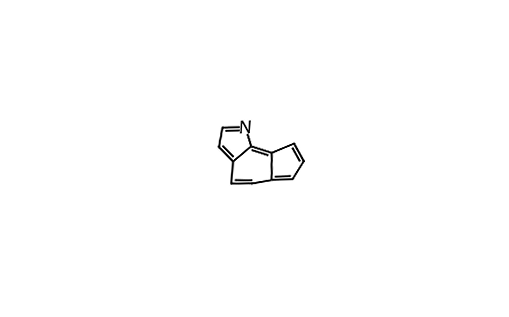 C1=Cc2c3c(ccc2=C1)=CC=N3